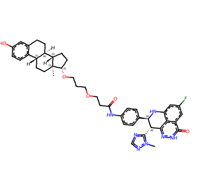 Cn1ncnc1[C@H]1c2n[nH]c(=O)c3cc(F)cc(c23)N[C@@H]1c1ccc(NC(=O)CCOCCCO[C@H]2CC[C@H]3[C@@H]4CCc5cc(O)ccc5[C@H]4CC[C@]23C)cc1